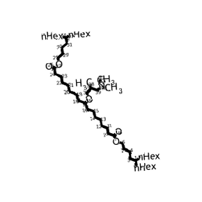 CCCCCCC(CCCCCC)CCCCOC(=O)CCCCCCCC(CCCCCCCC(=O)OCCCCC(CCCCCC)CCCCCC)OCC(C)CN(C)C